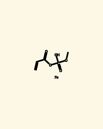 C=CC(=O)OP(=O)(O)OC.[Fe]